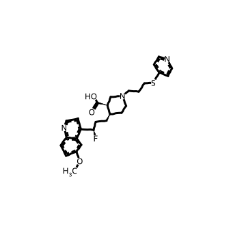 COc1ccc2nccc([C@H](F)CC[C@@H]3CCN(CCCSc4ccncc4)C[C@@H]3C(=O)O)c2c1